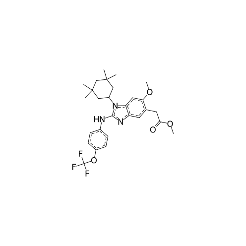 COC(=O)Cc1cc2nc(Nc3ccc(OC(F)(F)F)cc3)n(C3CC(C)(C)CC(C)(C)C3)c2cc1OC